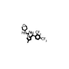 Cc1cc2c(-c3ccc(C(F)(F)F)cc3C(F)(F)F)nnc(NC3CCOCC3)n2c1